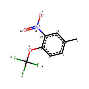 Cc1ccc(OC(F)(F)F)c([N+](=O)[O-])c1